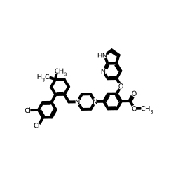 COC(=O)c1ccc(N2CCN(CC3=C(c4ccc(Cl)c(Cl)c4)CC(C)(C)CC3)CC2)cc1Oc1cnc2[nH]ccc2c1